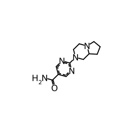 NC(=O)c1cnc(N2CCN3CCCC3C2)nc1